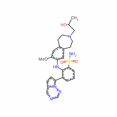 COc1cc2c(cc1Nc1c(-c3ccc4cncnn34)cccc1S(N)(=O)=O)CCN(CC(C)O)CC2